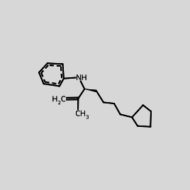 C=C(C)[C@H](CCCCC1CCCC1)Nc1ccccc1